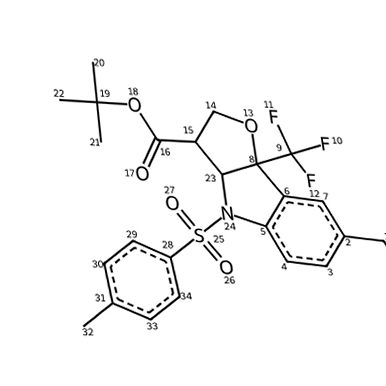 CCc1ccc2c(c1)C1(C(F)(F)F)OCC(C(=O)OC(C)(C)C)C1N2S(=O)(=O)c1ccc(C)cc1